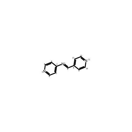 C(=Nc1ccncc1)c1ccncc1